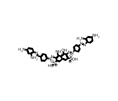 Nc1ccc(N=Nc2ccc(N=Nc3c(S(=O)(=O)O)cc4cc(S(=O)(=O)O)c(N=Nc5ccc(N=Nc6ccc(N)cc6N)cc5)c(O)c4c3N)cc2)c(N)c1